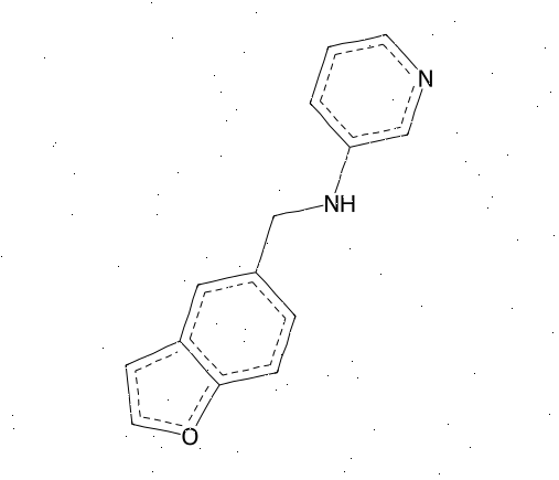 c1cncc(NCc2ccc3occc3c2)c1